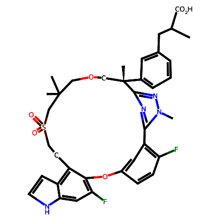 CC(Cc1cccc([C@@]2(C)COCC(C)(C)CS(=O)(=O)CCc3c(c(F)cc4[nH]ccc34)Oc3ccc(F)c(c3)-c3nc2nn3C)c1)C(=O)O